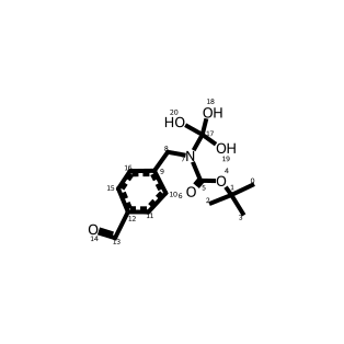 CC(C)(C)OC(=O)N(Cc1ccc(C=O)cc1)C(O)(O)O